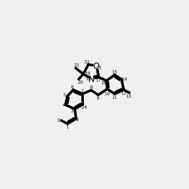 C/C=C\c1cccc(CCc2cc(C)ccc2C2=NC(C)(C)CO2)c1